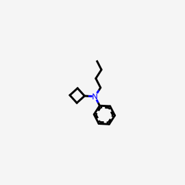 CCCCN(c1ccccc1)C1CCC1